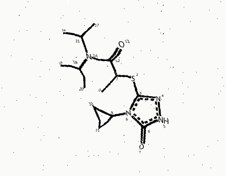 CC(Sc1n[nH]c(=O)n1C1CC1)C(=O)N(C(C)C)C(C)C